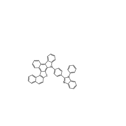 c1ccc(-n2c(-c3ccc(-n4c5ccccc5c5c6ccccc6c6c(sc7ccc8ccccc8c76)c54)cc3)nc3ccccc32)cc1